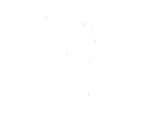 Cc1c(NC(=O)c2ccc(C(C)(C)C)cc2)cc(F)cc1-c1ncnc2[nH]c(C3=CCC(O)CC3)cc12